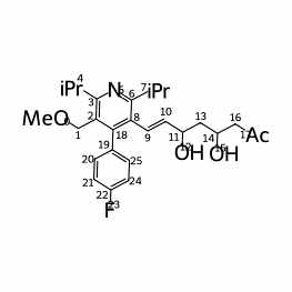 COCc1c(C(C)C)nc(C(C)C)c(/C=C/C(O)CC(O)CC(C)=O)c1-c1ccc(F)cc1